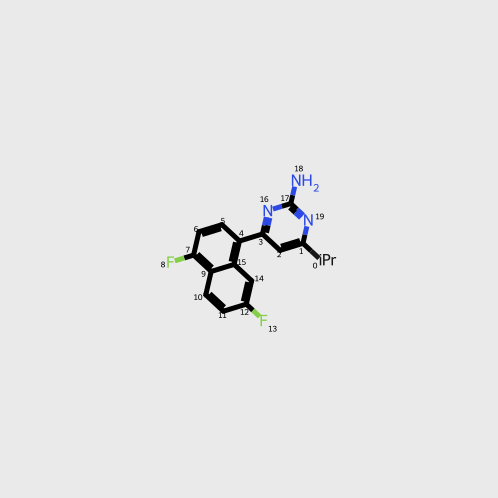 CC(C)c1cc(-c2ccc(F)c3ccc(F)cc23)nc(N)n1